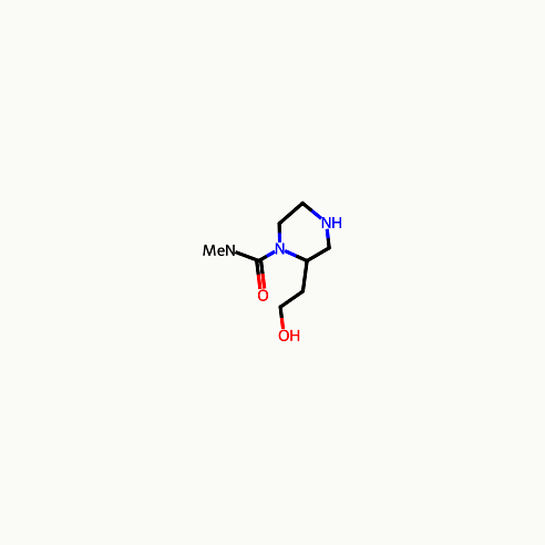 CNC(=O)N1CCNCC1CCO